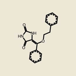 O=C1NC(=O)C(=C(OCCc2ccccc2)c2ccccc2)N1